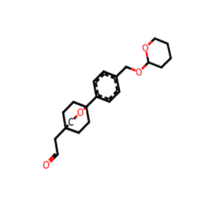 O=CCC12CCC(c3ccc(COC4CCCCO4)cc3)(CC1)OC2